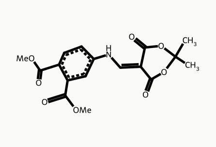 COC(=O)c1ccc(NC=C2C(=O)OC(C)(C)OC2=O)cc1C(=O)OC